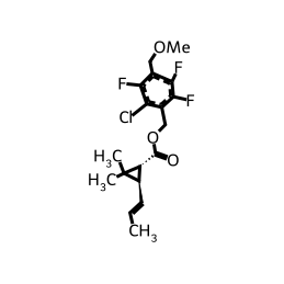 CC=C[C@@H]1[C@@H](C(=O)OCc2c(F)c(F)c(COC)c(F)c2Cl)C1(C)C